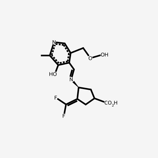 Cc1ncc(COO)c(/C=N/[C@H]2CC(C(=O)O)CC2=C(F)F)c1O